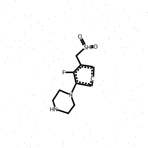 O=[SH](=O)Cc1cccc(N2CCNCC2)c1F